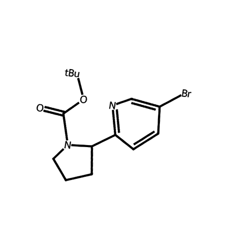 CC(C)(C)OC(=O)N1CCCC1c1ccc(Br)cn1